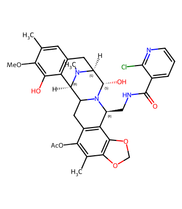 COc1c(C)cc2c(c1O)[C@@H]1C3Cc4c(OC(C)=O)c(C)c5c(c4[C@H](CNC(=O)c4cccnc4Cl)N3[C@@H](O)[C@H](C2)N1C)OCO5